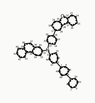 c1ccc(-c2ccc(-c3ccc(N(c4ccc(-c5ccc6oc7ccccc7c6c5)cc4)c4ccc5c(ccc6ccccc65)c4)cc3)cc2)cc1